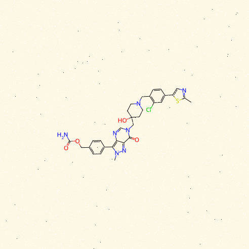 Cc1ncc(-c2ccc(CN3CCC(O)(Cn4cnc5c(-c6ccc(COC(N)=O)cc6)n(C)nc5c4=O)CC3)c(Cl)c2)s1